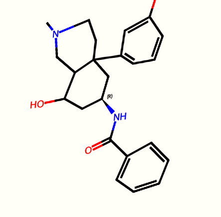 CN1CCC2(c3cccc(O)c3)C[C@@H](NC(=O)c3ccccc3)CC(O)C2C1